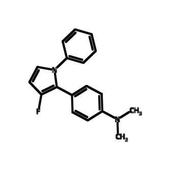 CN(C)c1ccc(-c2c(F)ccn2-c2ccccc2)cc1